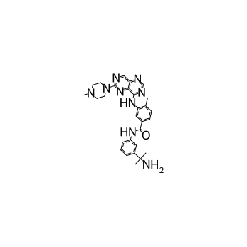 Cc1ccc(C(=O)Nc2cccc(C(C)(C)N)c2)cc1Nc1ncnc2cnc(N3CCN(C)CC3)nc12